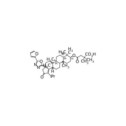 CC(C)C1=C2[C@H]3CCC4[C@@]5(C)CC[C@H](OC(=O)CC(C)(C)C(=O)O)C(C)(C)[C@@H]5CC[C@@]4(C)[C@]3(C)CC[C@@]2(c2nnc(-c3ccco3)o2)CC1=O